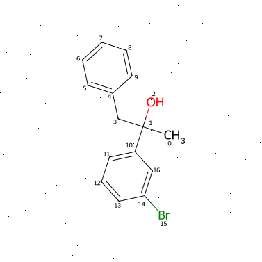 CC(O)(Cc1ccccc1)c1cccc(Br)c1